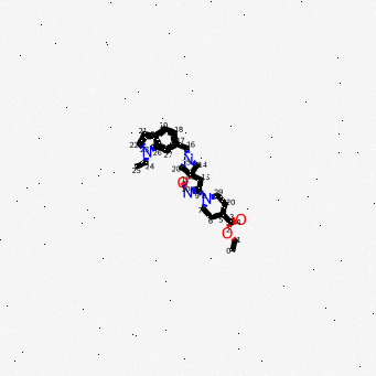 CCOC(=O)C1CCN(C2=NOC3(C2)CN(Cc2ccc4ccn(CC)c4c2)C3)CC1